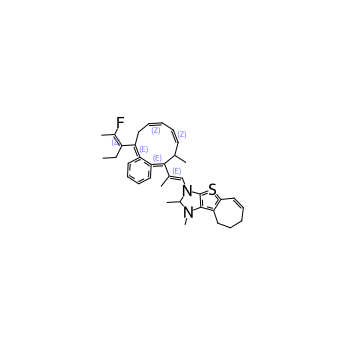 CCC(=C(\C)F)/C1=c2\cccc\c2=C(/C(C)=C/N2c3sc4c(c3N(C)C2C)CCCC=C4)C(C)/C=C\C=C/C1